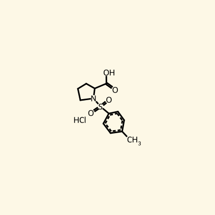 Cc1ccc(S(=O)(=O)N2CCCC2C(=O)O)cc1.Cl